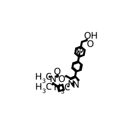 CC(C1CCC1)N(C)C(=O)OCc1c(-c2ccc(C34CCC(CC(=O)O)(CC3)OC4)cc2)cnn1C